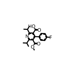 COC(=O)c1c(C(C)C)nc(C(C)C)c(C(=O)O)c1-c1ccc(F)cc1